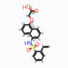 C=Cc1ccccc1S(=O)(=O)Nc1cccc2c(OCC(=O)O)cccc12